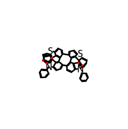 c1ccc(-n2c3ccccc3c3c4c(ccc32)-c2ccc3c(c2-c2c(ccc5sc6ccccc6c25)-c2ccc5sc6ccccc6c5c2-4)c2ccccc2n3-c2ccccc2)cc1